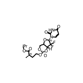 CC(C)OC(=O)[C@H](C)CCOP1(=O)OCC2O[C@@H](n3ccc(=O)[nH]c3=O)C(F)(F)[C@@H]2O1